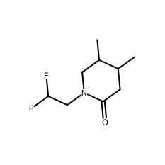 CC1CC(=O)N(CC(F)F)CC1C